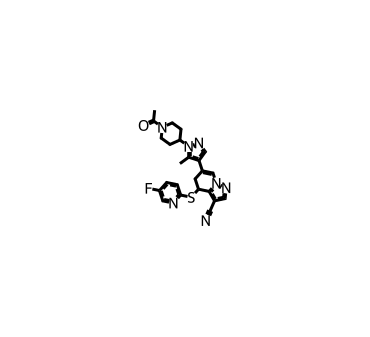 CC(=O)N1CCC(n2ncc(C3=Cn4ncc(C#N)c4C(Sc4ccc(F)cn4)C3)c2C)CC1